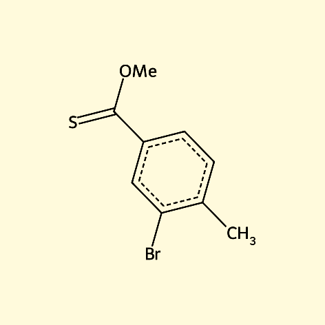 COC(=S)c1ccc(C)c(Br)c1